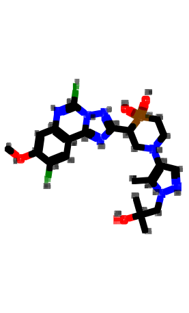 COc1cc2nc(F)n3nc(C4CN(c5cnn(CC(C)(C)O)c5C)CCS4(=O)=O)nc3c2cc1F